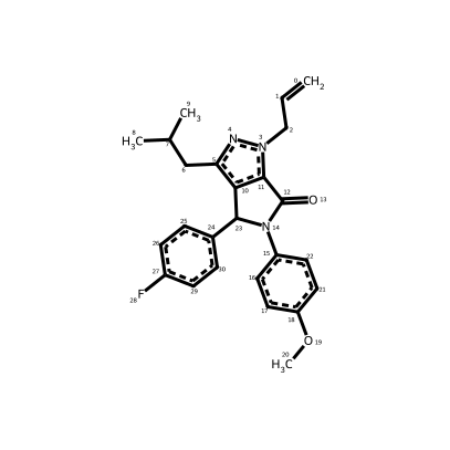 C=CCn1nc(CC(C)C)c2c1C(=O)N(c1ccc(OC)cc1)C2c1ccc(F)cc1